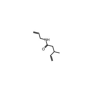 C=CCNC(=O)CC(C)C=C